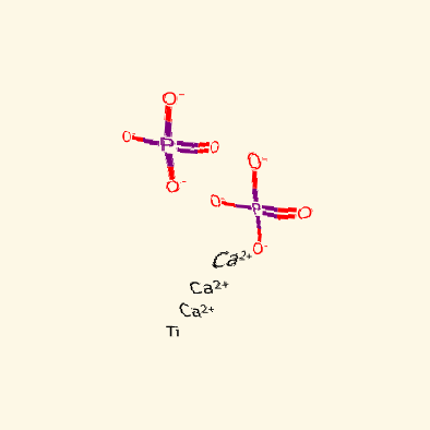 O=P([O-])([O-])[O-].O=P([O-])([O-])[O-].[Ca+2].[Ca+2].[Ca+2].[Ti]